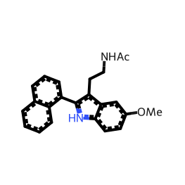 COc1ccc2[nH]c(-c3cccc4ccccc34)c(CCNC(C)=O)c2c1